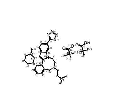 CN(C)CCN1CCn2c(c([C@@H]3CCCC[C@H]3F)c3ccc(-c4nnn[nH]4)cc32)-c2ccccc2C1.O=C(O)C(F)(F)F.O=C(O)C(F)(F)F